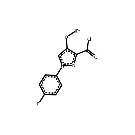 CC(C)Oc1cn(-c2ccc(F)cc2)nc1C(=O)Cl